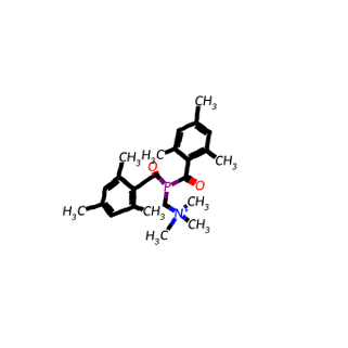 Cc1cc(C)c(C(=O)P(C[N+](C)(C)C)C(=O)c2c(C)cc(C)cc2C)c(C)c1